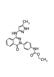 CCOC(=O)Nc1ccc(-n2nc(Nc3cc(C)[nH]n3)c3ccccc3c2=O)cc1